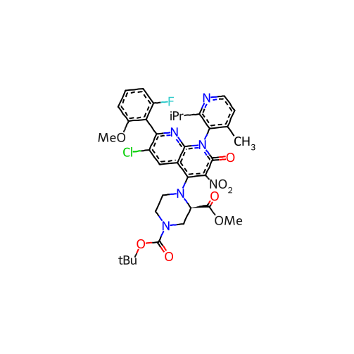 COC(=O)[C@H]1CN(C(=O)OC(C)(C)C)CCN1c1c([N+](=O)[O-])c(=O)n(-c2c(C)ccnc2C(C)C)c2nc(-c3c(F)cccc3OC)c(Cl)cc12